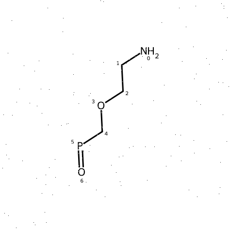 NCCOCP=O